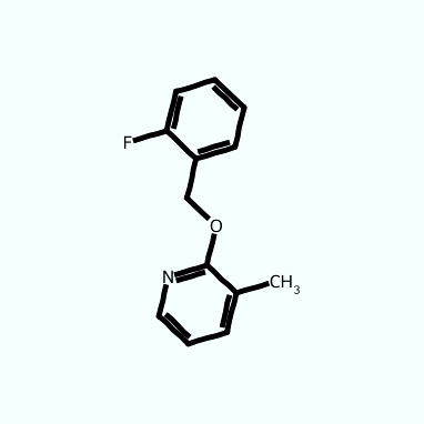 Cc1cccnc1OCc1ccccc1F